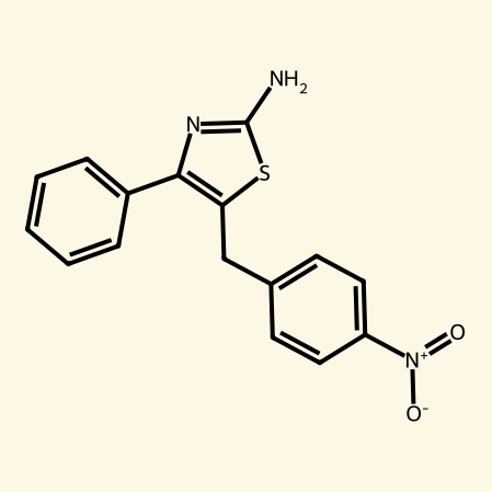 Nc1nc(-c2ccccc2)c(Cc2ccc([N+](=O)[O-])cc2)s1